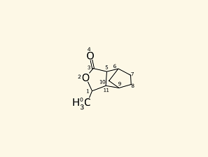 CC1OC(=O)C2C3CCC(C3)C12